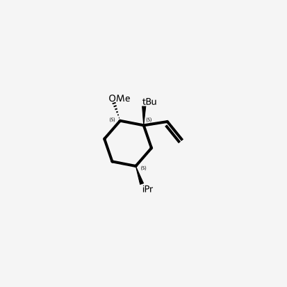 C=C[C@]1(C(C)(C)C)C[C@@H](C(C)C)CC[C@@H]1OC